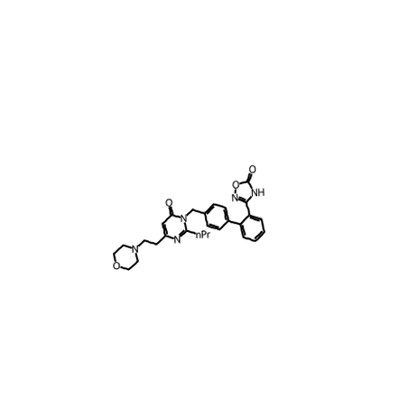 CCCc1nc(CCN2CCOCC2)cc(=O)n1Cc1ccc(-c2ccccc2-c2noc(=O)[nH]2)cc1